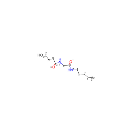 CC(=O)CCCCNC(=O)CNC(=O)CCC(=O)O